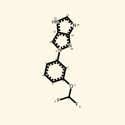 FC(F)Oc1cccc(-n2cc3[nH][c]nc3n2)c1